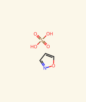 O=S(=O)(O)O.c1cnoc1